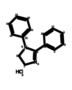 Cl.c1ccc(C2=NCCN2c2ccccc2)cc1